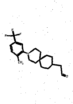 Cc1ccc(C(F)(F)F)cc1N1CCC2(CCC(CC=O)CC2)CC1